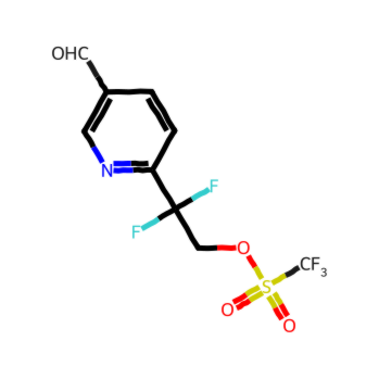 O=Cc1ccc(C(F)(F)COS(=O)(=O)C(F)(F)F)nc1